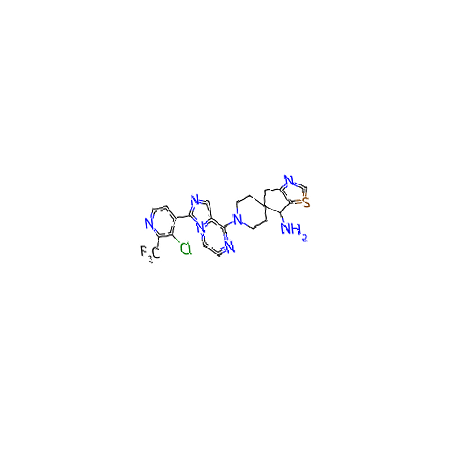 NC1c2scnc2CC12CCN(c1nccn3c(-c4ccnc(C(F)(F)F)c4Cl)ncc13)CC2